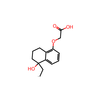 [CH2]CC1(O)CCCc2c(OCC(=O)O)cccc21